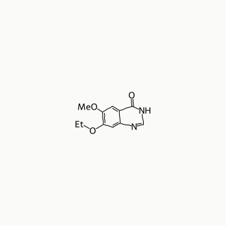 CCOc1cc2nc[nH]c(=O)c2cc1OC